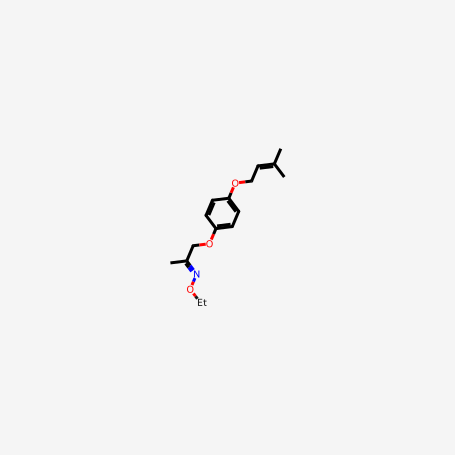 CCON=C(C)COc1ccc(OCC=C(C)C)cc1